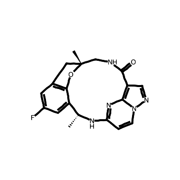 C[C@H]1Nc2ccn3ncc(c3n2)C(=O)NC[C@@]2(C)Cc3cc(F)cc1c3O2